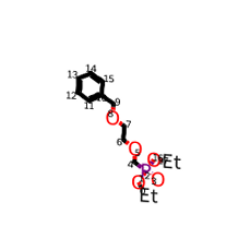 CCOP(=O)(COCCOCc1ccccc1)OCC